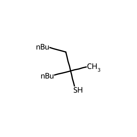 CCCCCC(C)(S)CCCC